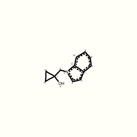 OC1(Cn2ccc3ccccc32)CC1